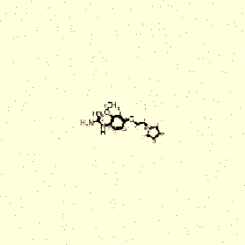 COc1cc(OCCN2CCCC2)ccc1NC(=N)N